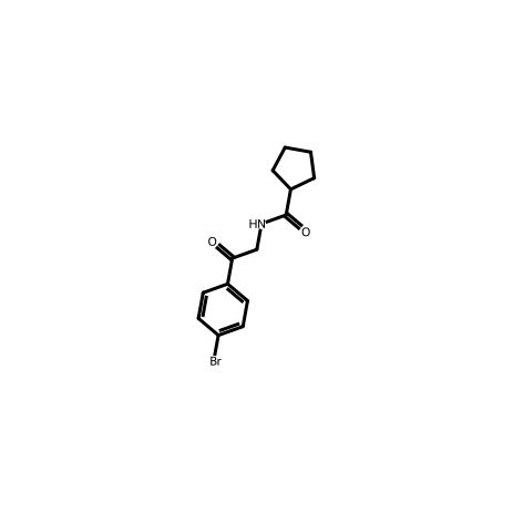 O=C(CNC(=O)C1CCCC1)c1ccc(Br)cc1